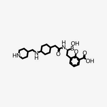 O=C(CC1CCC(NCC2CCNCC2)CC1)N[C@H]1Cc2cccc(C(=O)O)c2OB1O